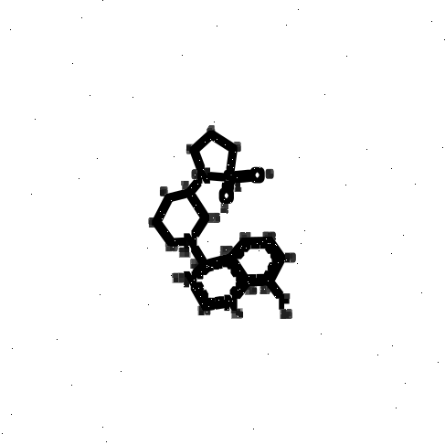 O=S1(=O)CCCN1C1CCCN(c2ncnc3c(F)cccc23)C1